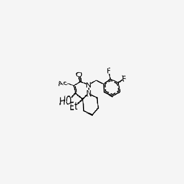 CCC12CCCCN1N(Cc1cccc(F)c1F)C(=O)C(C(C)=O)=C2O